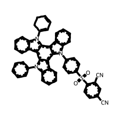 N#Cc1ccc(S(=O)(=O)c2ccc(-n3c4ccccc4c4c5c(c6ccccc6n5C5=CC=CCC5)c5c(c6ccccc6n5-c5ccccc5)c43)cc2)c(C#N)c1